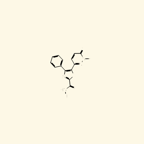 CCn1nc(-c2sc(C(=O)NC(C)C)nc2-c2ccccc2)ccc1=O